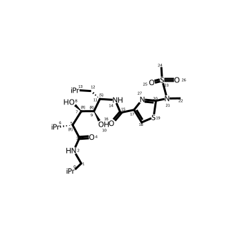 CC(C)CNC(=O)[C@H](C(C)C)[C@@H](O)[C@H](O)[C@H](CC(C)C)NC(=O)c1csc(N(C)S(C)(=O)=O)n1